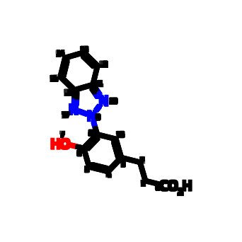 O=C(O)CCc1ccc(O)c(-n2nc3ccccc3n2)c1